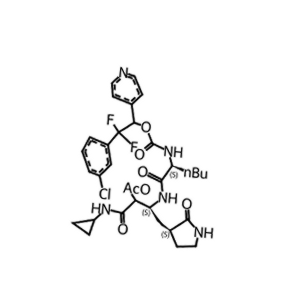 CCCC[C@H](NC(=O)OC(c1ccncc1)C(F)(F)c1cccc(Cl)c1)C(=O)N[C@@H](C[C@@H]1CCNC1=O)C(OC(C)=O)C(=O)NC1CC1